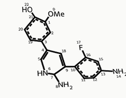 COc1cc(C2=CNC(N)C(c3ccc(N)cc3F)=C2)ccc1O